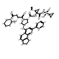 C=C[C@@H]1CC1(NC(=O)[C@@H]1C[C@@H](Oc2cc(-c3ccccn3)nc3c4c(ccc23)CCC4)CN1C(=O)[C@@H](CC(=O)N1CCCCC1)C(C)(C)C)C(=O)NS(=O)(=O)C1CC1